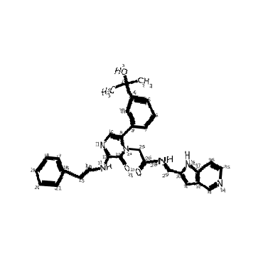 CC(C)(O)c1cccc(-c2cnc(NCCc3ccccc3)c(=O)n2CC(=O)NCc2cc3cnccc3[nH]2)c1